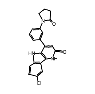 O=C1CCCN1c1cccc(-c2cc(=O)[nH]c3c2[nH]c2ccc(Cl)cc23)c1